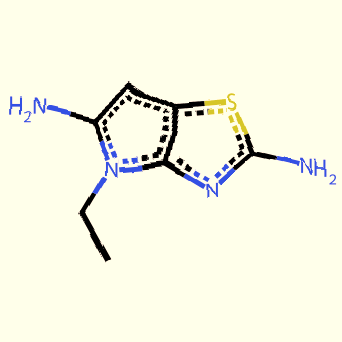 CCn1c(N)cc2sc(N)nc21